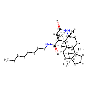 CCCCCCCCNC(=O)C1=CC(=O)N[C@@H]2CC[C@H]3[C@@H]4CCC[C@@]4(C)CC[C@@H]3[C@@]12C